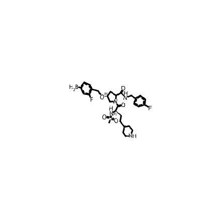 Bc1ccc(CO[C@@H]2CC(C(=O)NCc3ccc(F)cc3)N(C(=O)[C@@H](CCC3CCNCC3)NS(C)(=O)=O)C2)c(F)c1